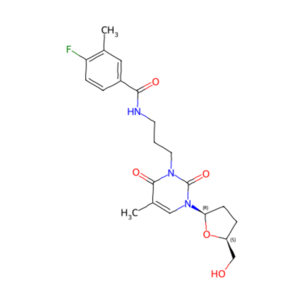 Cc1cc(C(=O)NCCCn2c(=O)c(C)cn([C@H]3CC[C@@H](CO)O3)c2=O)ccc1F